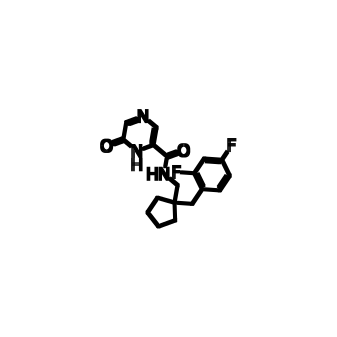 O=C(NCC1(Cc2ccc(F)cc2F)CCCC1)c1cncc(=O)[nH]1